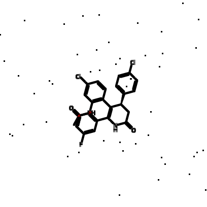 CC(=O)Nc1cc(Cl)ccc1C1=C(c2cccc(F)c2)NC(=O)C[C@@H]1c1ccc(Cl)cc1